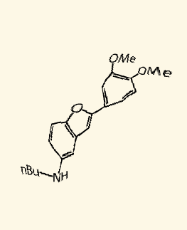 CCCCNc1ccc2oc(-c3ccc(OC)c(OC)c3)cc2c1